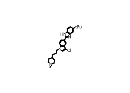 CN1CCC(CCCn2cc(Cl)c3cc(-c4nc5cc(C(C)(C)C)ccc5[nH]4)ccc32)CC1